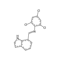 Clc1cc(Cl)c(/N=C/c2cccc3cc[nH]c23)c(Cl)c1